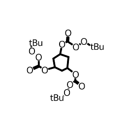 CC(C)(C)OOC(=O)OC1CC(OC(=O)OOC(C)(C)C)CC(OC(=O)OOC(C)(C)C)C1